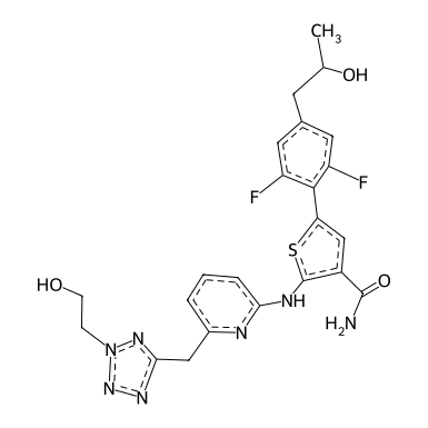 CC(O)Cc1cc(F)c(-c2cc(C(N)=O)c(Nc3cccc(Cc4nnn(CCO)n4)n3)s2)c(F)c1